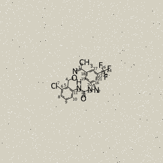 CC(=NOCc1c(Cl)cccc1NC(=O)N1C=N1)c1cccc(C(F)(F)F)c1